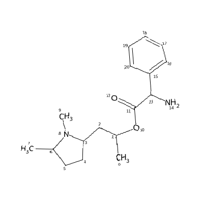 CC(CC1CCC(C)N1C)OC(=O)C(N)c1ccccc1